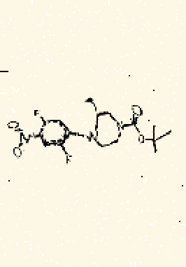 C[C@H]1CN(C(=O)OC(C)(C)C)CCN1c1cc(F)c([N+](=O)[O-])cc1F